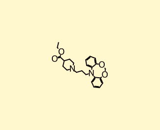 CCOC(=O)C1CCN(CCCN2c3ccccc3OCOc3ccccc32)CC1